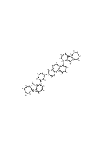 c1cc(-c2ccc3c(ccc4c(-c5cccc6c5sc5ccccc56)ncnc43)c2)cc(-c2cccc3c2sc2ccccc23)c1